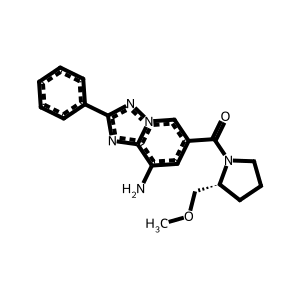 COC[C@H]1CCCN1C(=O)c1cc(N)c2nc(-c3ccccc3)nn2c1